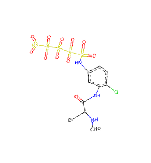 CCC(NC=O)C(=O)Nc1cc(NS(=O)(=O)S(=O)(=O)S(=O)(=O)S(=O)(=O)[SH](=O)=O)ccc1Cl